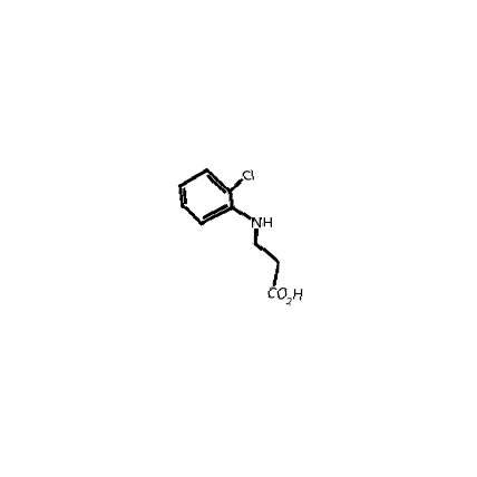 O=C(O)CCNc1ccccc1Cl